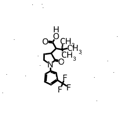 CC(C)(C)C(C(=O)O)C1CCN(c2cccc(C(F)(F)F)c2)C1=O